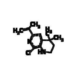 C=C(C)c1cc2c(c(Cl)n1)NCCC2(C)C